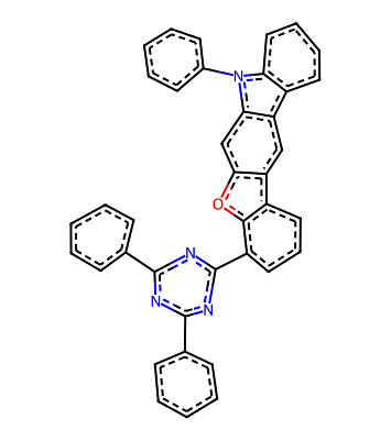 c1ccc(-c2nc(-c3ccccc3)nc(-c3cccc4c3oc3cc5c(cc34)c3ccccc3n5-c3ccccc3)n2)cc1